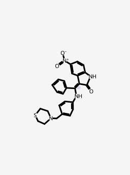 O=C1Nc2ccc([N+](=O)[O-])cc2/C1=C(/Nc1ccc(CN2CCSCC2)cc1)c1ccccc1